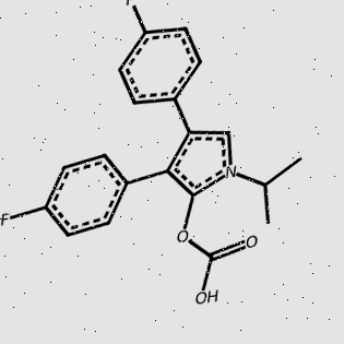 CC(C)n1cc(-c2ccc(F)cc2)c(-c2ccc(F)cc2)c1OC(=O)O